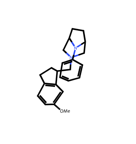 COc1ccc2c(c1)C(CN1CC3CCC(C1)N3c1ccccc1)CC2